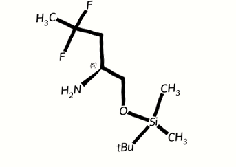 CC(F)(F)C[C@H](N)CO[Si](C)(C)C(C)(C)C